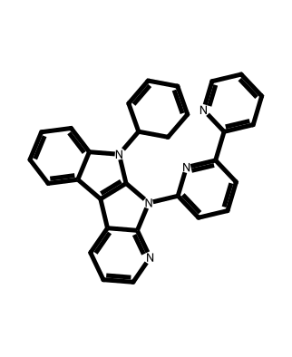 C1=CCC(n2c3ccccc3c3c4cccnc4n(-c4cccc(-c5ccccn5)n4)c32)C=C1